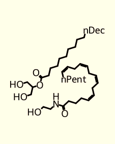 CCCCC/C=C\C/C=C\C/C=C\C/C=C\CCCC(=O)NCCO.CCCCCCCCCCCCCCCCCCCC(=O)OC(CO)CO